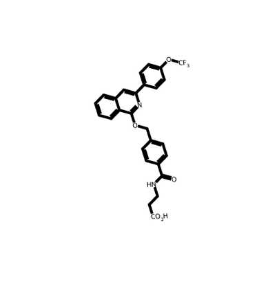 O=C(O)CCNC(=O)c1ccc(COc2nc(-c3ccc(OC(F)(F)F)cc3)cc3ccccc23)cc1